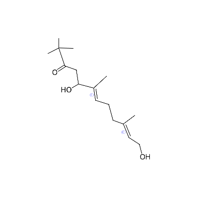 C/C(=C\CO)CC/C=C(\C)C(O)CC(=O)C(C)(C)C